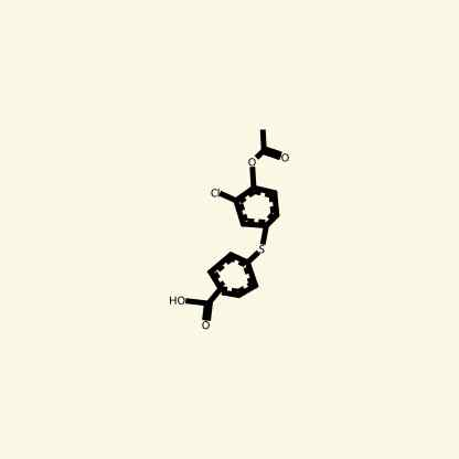 CC(=O)Oc1ccc(Sc2ccc(C(=O)O)cc2)cc1Cl